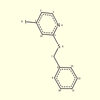 Ic1ccnc(SCc2ccccc2)c1